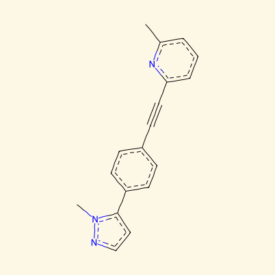 Cc1cccc(C#Cc2ccc(-c3ccnn3C)cc2)n1